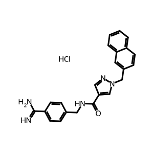 Cl.N=C(N)c1ccc(CNC(=O)c2cnn(Cc3ccc4ccccc4c3)c2)cc1